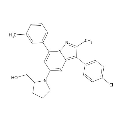 Cc1cccc(-c2cc(N3CCCC3CO)nc3c(-c4ccc(Cl)cc4)c(C)nn23)c1